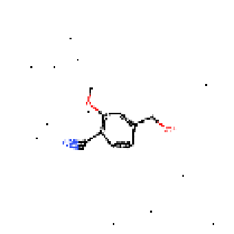 COc1cc(CO)ccc1C#N